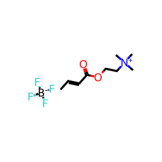 CC=CC(=O)OCC[N+](C)(C)C.F[B-](F)(F)F